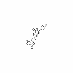 O=C1N=C(c2ccc(F)cc2)N=C2N=C(C3CCC4(CC3)OC(=O)c3ccncc34)N=C12